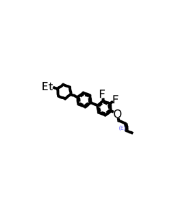 C/C=C/COc1ccc(-c2ccc(C3CCC(CC)CC3)cc2)c(F)c1F